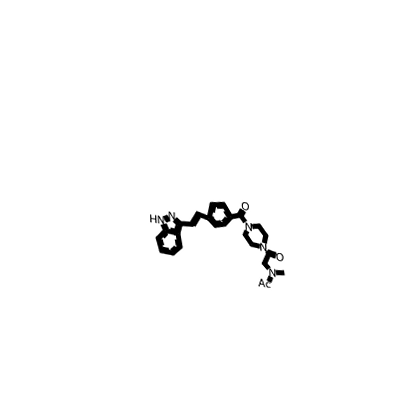 CC(=O)N(C)CC(=O)N1CCN(C(=O)c2ccc(/C=C/c3n[nH]c4ccccc34)cc2)CC1